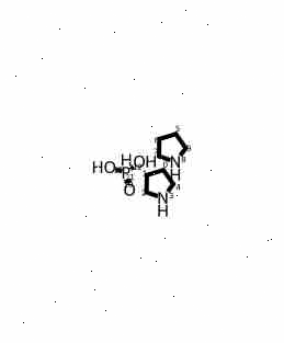 C1CCNC1.C1CCNC1.O=[PH](O)O